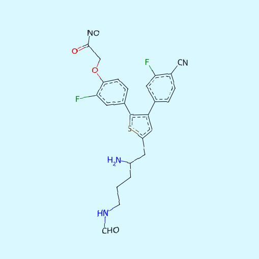 N#Cc1ccc(-c2cc(CC(N)CCCNC=O)sc2-c2ccc(OCC(=O)N=O)c(F)c2)cc1F